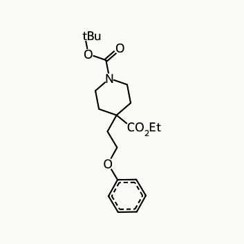 CCOC(=O)C1(CCOc2ccccc2)CCN(C(=O)OC(C)(C)C)CC1